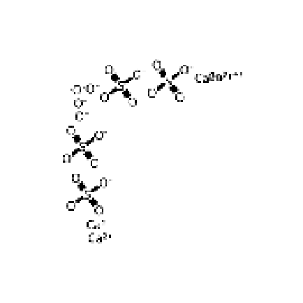 O=S(=O)([O-])[O-].O=S(=O)([O-])[O-].O=S(=O)([O-])[O-].O=S(=O)([O-])[O-].[Ca+2].[Ca+2].[Ca+2].[Ca+2].[O-].[O-].[O-].[O-].[Zr+4]